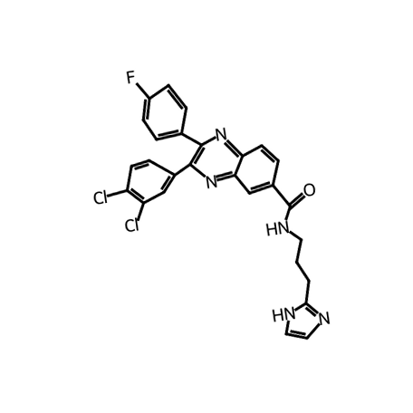 O=C(NCCCc1ncc[nH]1)c1ccc2nc(-c3ccc(F)cc3)c(-c3ccc(Cl)c(Cl)c3)nc2c1